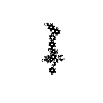 CCN(CC)CC[C@H](CSc1ccccc1)Nc1ccc(S(=O)(=O)NC(=O)c2ccc(N3CCN(Cc4ccccc4-c4ccc(Cl)cc4)CC3)cc2)cc1S(=O)(=O)C(F)(F)Cl